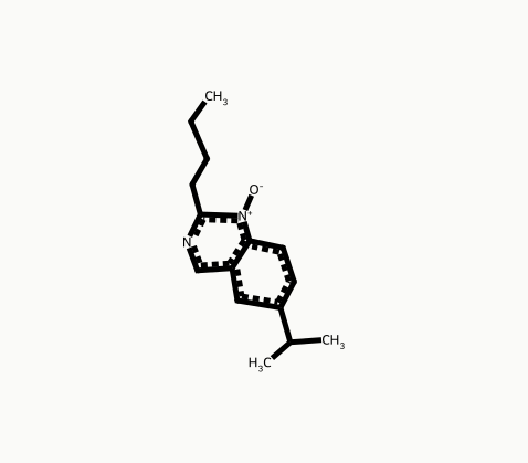 CCCCc1ncc2cc(C(C)C)ccc2[n+]1[O-]